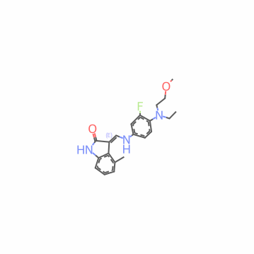 CCN(CCOC)c1ccc(N/C=C2/C(=O)Nc3cccc(C)c32)cc1F